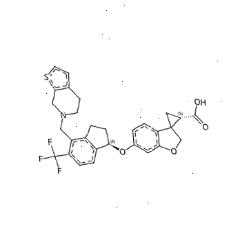 O=C(O)[C@H]1CC12COc1cc(O[C@@H]3CCc4c3ccc(C(F)(F)F)c4CN3CCc4ccsc4C3)ccc12